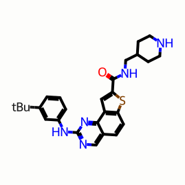 CC(C)(C)c1cccc(Nc2ncc3ccc4sc(C(=O)NCC5CCNCC5)cc4c3n2)c1